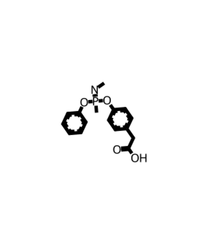 CN=P(C)(Oc1ccccc1)Oc1ccc(CC(=O)O)cc1